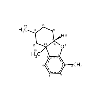 Cc1cccc2c1O[C@H]1CCC(C)CC21C